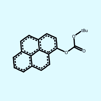 CC(C)(C)OC(=O)Oc1ccc2ccc3cccc4ccc1c2c34